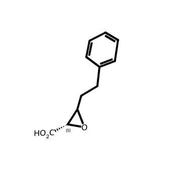 O=C(O)[C@H]1OC1CCc1ccccc1